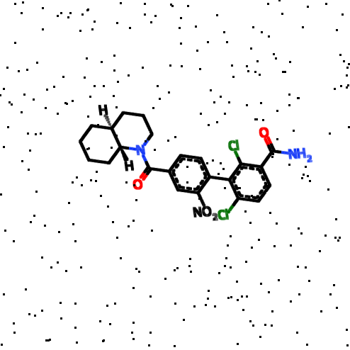 NC(=O)c1ccc(Cl)c(-c2ccc(C(=O)N3CCC[C@@H]4CCCC[C@H]43)cc2[N+](=O)[O-])c1Cl